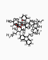 CC[C@H](C)[C@H](NC(=O)[C@H](C)NC(=O)OCC1c2ccccc2-c2ccccc21)C(=O)N[C@@H](Cc1ccccc1)C(=O)N[C@@H](CCC(=O)O)C(=O)N[C@@H](CCCCN)C(=O)N[C@@H](C)C(=O)N[C@@H](C)C(=O)O